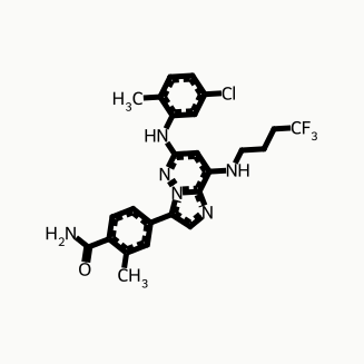 Cc1ccc(Cl)cc1Nc1cc(NCCCC(F)(F)F)c2ncc(-c3ccc(C(N)=O)c(C)c3)n2n1